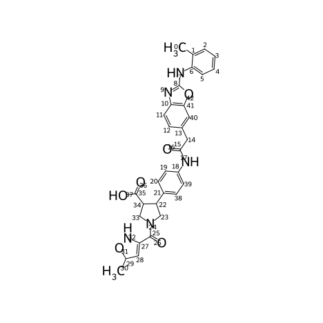 Cc1ccccc1Nc1nc2ccc(CC(=O)Nc3ccc(C4CN(C(=O)C5=CC(C)ON5)CC4C(=O)O)cc3)cc2o1